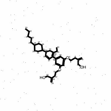 C=C(CO)CCOc1cc(OCCC(=C)CO)cc(C2=C(CC)CC(C3CCC(CCCCC)CC3)C=C2)c1